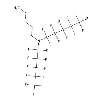 CCCCCN(C(F)(F)C(F)(F)C(F)(F)C(F)(F)C(F)(F)F)C(F)(F)C(F)(F)C(F)(F)C(F)(F)C(F)(F)F